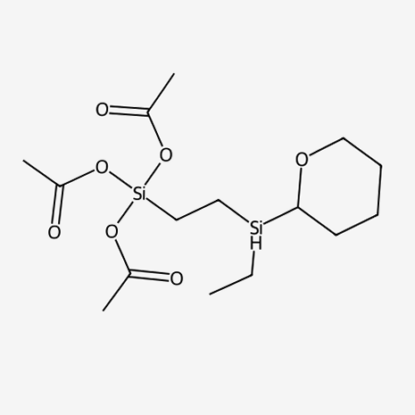 CC[SiH](CC[Si](OC(C)=O)(OC(C)=O)OC(C)=O)C1CCCCO1